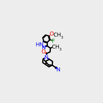 COc1ccc2[nH]nc(C(C)CC(=O)N3C4CC5CC3CC(C#N)(C5)C4)c2c1F